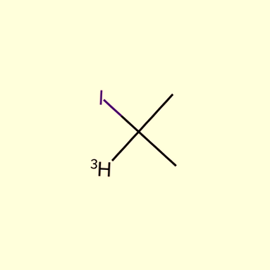 [3H]C(C)(C)I